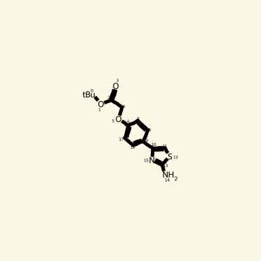 CC(C)(C)OC(=O)COc1ccc(-c2csc(N)n2)cc1